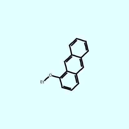 CCOc1cccc2cc3ccccc3[c]c12